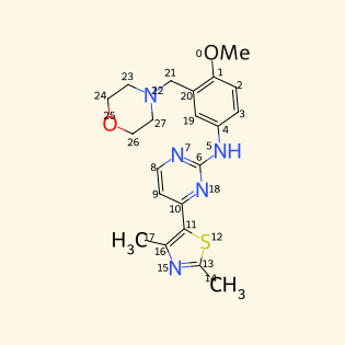 COc1ccc(Nc2nccc(-c3sc(C)nc3C)n2)cc1CN1CCOCC1